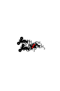 CC(=O)Nc1ccc(N2NC(c3ccccc3)=NN2c2ccccc2)cc1.CC(=O)Nc1ccc(N2NC(c3ccccc3)=NN2c2ccccc2)cc1.CCCCC(CC)CC(C(=O)O)C(CC(CC)CCCC)(C(=O)O)S(=O)(=O)O